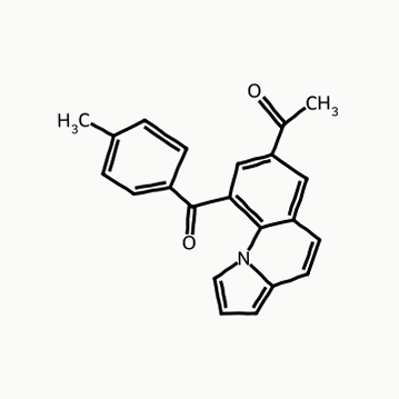 CC(=O)c1cc(C(=O)c2ccc(C)cc2)c2c(ccc3cccn32)c1